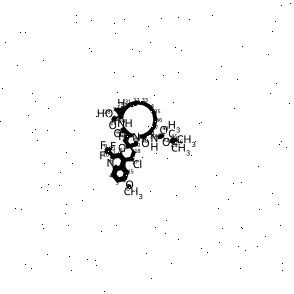 COc1ccc2nc(C(F)(F)F)c3c(c2c1)C(Cl)C[C@]1(C[C@H]2C(=O)N[C@]4(C(=O)O)C[C@H]4C=CCCCCC[C@H](NC(=O)OC(C)(C)C)C(=O)N2C1)O3